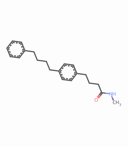 CNC(=O)CCCc1ccc(CCCCc2ccccc2)cc1